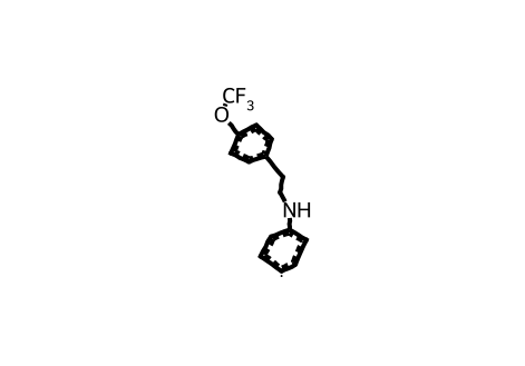 FC(F)(F)Oc1ccc(CCNc2cc[c]cc2)cc1